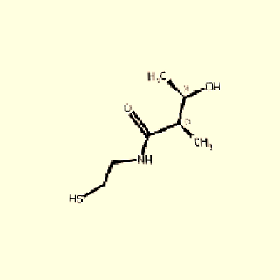 C[C@@H](O)[C@@H](C)C(=O)NCCS